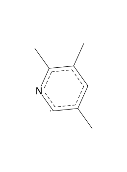 Cc1[c]nc(C)c(C)c1